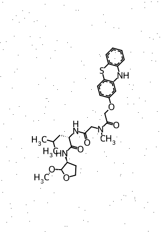 COC1OCC[C@@H]1NC(=O)[C@H](CC(C)C)NC(=O)CN(C)C(=O)COc1ccc2c(c1)Nc1ccccc1S2